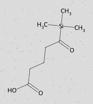 C[Si](C)(C)C(=O)CCCC(=O)O